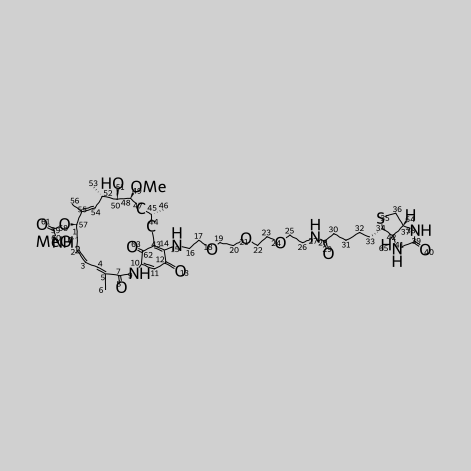 CO[C@H]1/C=C\C=C(/C)C(=O)NC2=CC(=O)C(NCCOCCOCCOCCNC(=O)CCCC[C@@H]3SC[C@@H]4NC(=O)N[C@@H]43)=C(C[C@@H](C)C[C@H](OC)[C@H](O)[C@@H](C)/C=C(\C)[C@@H]1OC(N)=O)C2=O